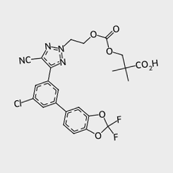 CC(C)(COC(=O)OCCn1nc(C#N)c(-c2cc(Cl)cc(-c3ccc4c(c3)OC(F)(F)O4)c2)n1)C(=O)O